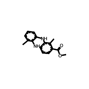 COC(=O)c1cccc(Nc2cccc(C)c2N)c1C